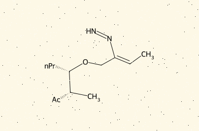 C/C=C(/CO[C@@H](CCC)[C@H](C)C(C)=O)N=N